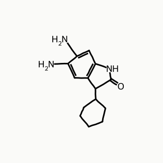 Nc1cc2c(cc1N)C(C1CCCCC1)C(=O)N2